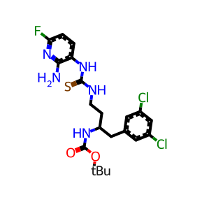 CC(C)(C)OC(=O)NC(CCNC(=S)Nc1ccc(F)nc1N)Cc1cc(Cl)cc(Cl)c1